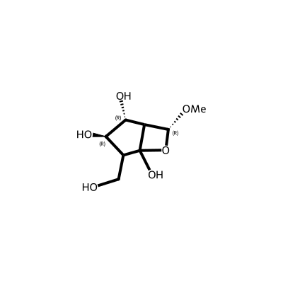 CO[C@@H]1OC2(O)C(CO)[C@@H](O)[C@H](O)C12